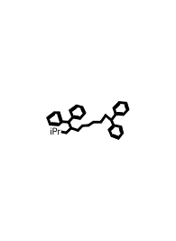 CC(C)CC(CCCCCCC(c1ccccc1)c1ccccc1)C(c1ccccc1)c1ccccc1